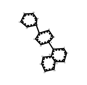 [c]1ccc(-c2ccc(-c3ccccc3)cc2)c2ccccc12